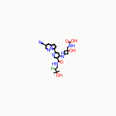 CC(C)(O)C(F)CNC(=O)c1cnc(-c2ccc3cc(C#N)cnn23)cc1NC1CC(O)(CNC(=O)O)C1